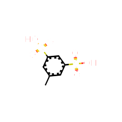 Cc1cc(S(=O)(=O)O)cc(S(=O)(=O)O)c1